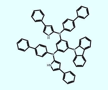 c1ccc(-c2ccc(N(c3cc(N(c4ccc(-c5ccccc5)cc4)c4cc(-c5ccccc5)c[nH]4)cc(-n4c5ccccc5c5ccccc54)c3)c3cc(-c4ccccc4)c[nH]3)cc2)cc1